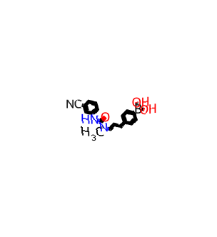 CN(CCCc1ccc(B(O)O)cc1)C(=O)Nc1cccc(C#N)c1